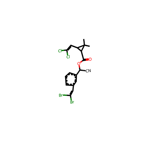 CC1(C)C(C=C(Cl)Cl)C1C(=O)OC(C#N)c1cccc(C=C(Br)Br)c1